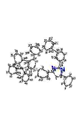 c1ccc(-c2cc(-c3ccccc3)nc(-c3cccc(-c4cccc(-c5cccc(-c6cccc7c6-c6ccccc6C76c7ccccc7-c7ccccc76)c5)c4)c3)n2)cc1